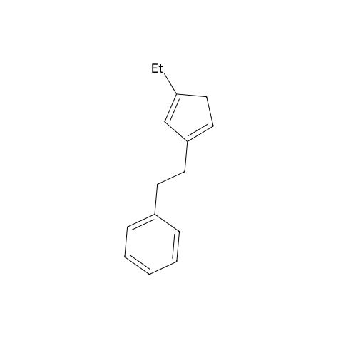 CCC1=CC(CCc2ccccc2)=CC1